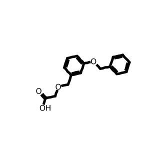 O=C(O)COCc1cccc(OCc2ccccc2)c1